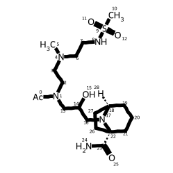 CC(=O)N(CCN(C)CCNS(C)(=O)=O)CC(O)CN1[C@@H]2C[CH]C[C@@]1(C(N)=O)CC2